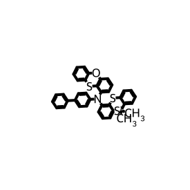 C[Si]1(C)c2ccccc2Sc2c(N(c3ccc(-c4ccccc4)cc3)c3cccc4c3Sc3ccccc3O4)cccc21